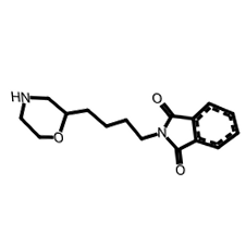 O=C1c2ccccc2C(=O)N1CCCCC1CNCCO1